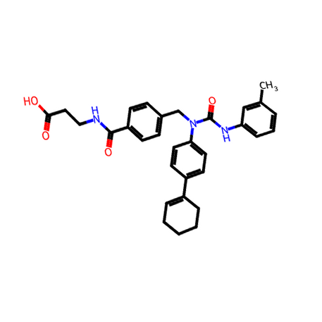 Cc1cccc(NC(=O)N(Cc2ccc(C(=O)NCCC(=O)O)cc2)c2ccc(C3=CCCCC3)cc2)c1